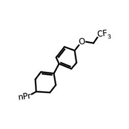 CCCC1CC=C(C2=CCC(OCC(F)(F)F)C=C2)CC1